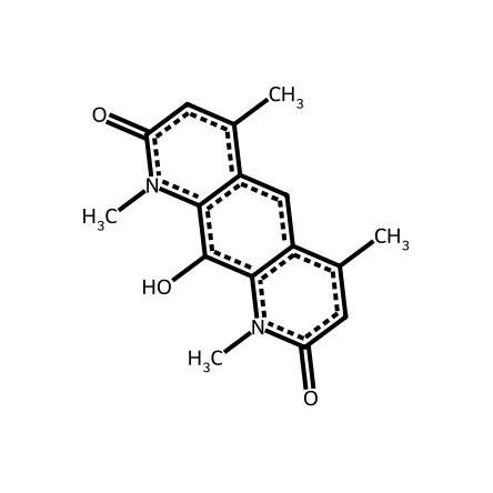 Cc1cc(=O)n(C)c2c(O)c3c(cc12)c(C)cc(=O)n3C